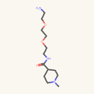 CN1CCC(C(=O)NCCOCCOCCN)CC1